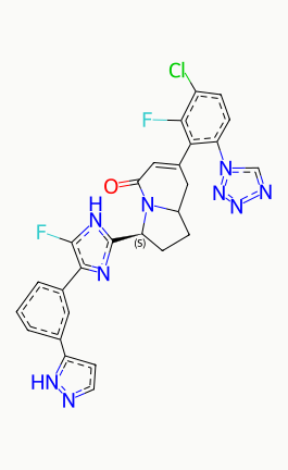 O=C1C=C(c2c(-n3cnnn3)ccc(Cl)c2F)CC2CC[C@@H](c3nc(-c4cccc(-c5ccn[nH]5)c4)c(F)[nH]3)N12